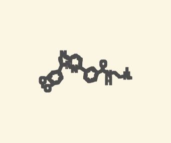 CN(C)CCNC(=O)c1cccc(-c2ccc3ncc(-c4ccc5c(c4)OCO5)n3n2)c1